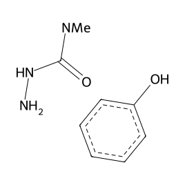 CNC(=O)NN.Oc1ccccc1